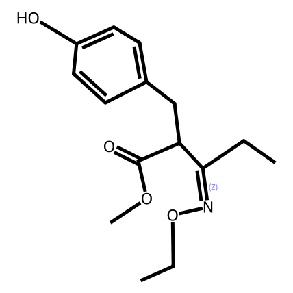 CCO/N=C(/CC)C(Cc1ccc(O)cc1)C(=O)OC